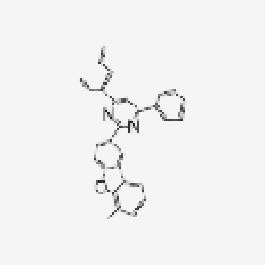 C=C/C=C(\C=C)c1cc(-c2ccccc2)nc(-c2ccc3oc4c(C)cccc4c3c2)n1